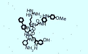 COc1ccc(Nc2ccc(NC(=O)CNC(=O)C(CCCCNC(=N)N)NC(=O)C(Cc3ccc(-c4ccccc4)cc3)NC(=O)C(Cc3c[nH]c4ccc(O)cc34)NC(=O)C3CCCC(N)C3)cc2)cc1